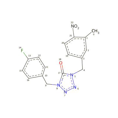 Cc1cc(Cn2nnn(Cc3ccc(F)cc3)c2=O)ccc1[N+](=O)[O-]